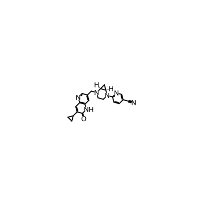 N#Cc1ccc(N2CCN(Cc3cnc4cc(C5CC5)c(=O)[nH]c4c3)[C@H]3C[C@H]32)nc1